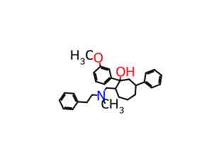 COc1cccc(C2(O)CC(c3ccccc3)CCCC2CN(C)CCc2ccccc2)c1